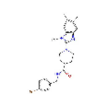 Cc1cc2nc(N3CCC(C(=O)NCc4ccc(Br)cc4)CC3)n(C(C)C)c2cc1C